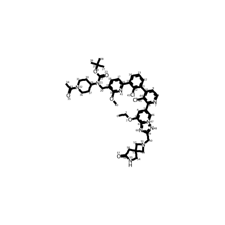 CCOc1cc(-c2nccc(-c3cccc(-c4ccc(CN(C(=O)OC(C)(C)C)C5CCN(C(C)=O)CC5)c(OC)n4)c3Cl)c2Cl)cn2nc(CN3CC4(CNC(=O)C4)C3)nc12